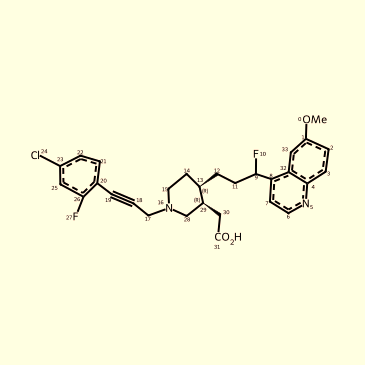 COc1ccc2nccc(C(F)CC[C@@H]3CCN(CC#Cc4ccc(Cl)cc4F)C[C@@H]3CC(=O)O)c2c1